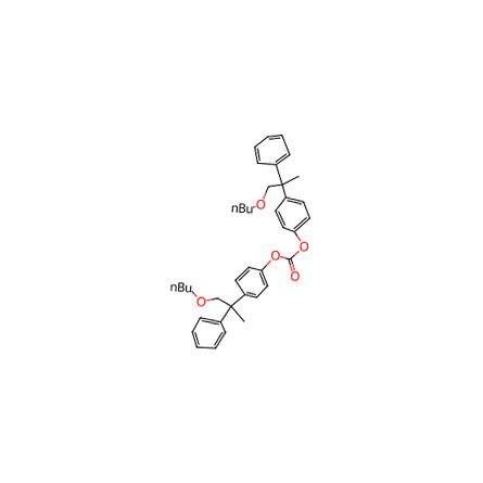 CCCCOCC(C)(c1ccccc1)c1ccc(OC(=O)Oc2ccc(C(C)(COCCCC)c3ccccc3)cc2)cc1